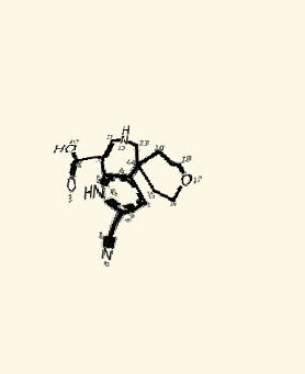 N#Cc1cc2c([nH]1)C(C(=O)O)=CNCC21CCOCC1